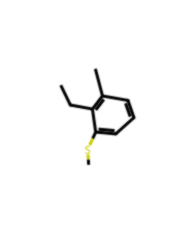 CCc1c(C)cccc1SC